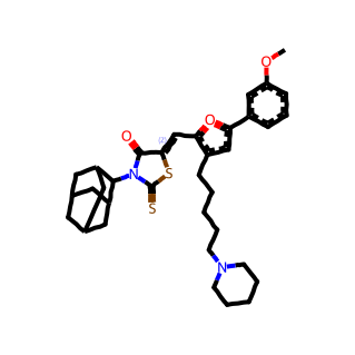 COc1cccc(-c2cc(CCCCCN3CCCCC3)c(/C=C3\SC(=S)N(C4C5CC6CC(C5)CC4C6)C3=O)o2)c1